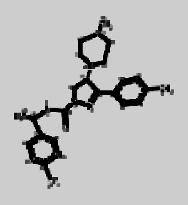 Cc1ccc(C2=NN(C(=O)NC(C)c3cnc(C(F)(F)F)nc3)C[C@@H]2N2CCN(C)CC2)cc1